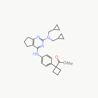 COC(=O)C1(c2ccc(Nc3nc(N(CC4CC4)CC4CC4)nc4c3CCC4)cc2)CCC1